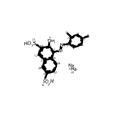 Cc1ccc(N=Nc2c(O)c(S(=O)(=O)O)cc3cc(S(=O)(=O)O)ccc23)c(C)c1.[Na].[Na]